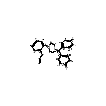 C=CCc1ccccc1N1CCN(C(c2ccc(F)cc2)c2ccc(F)cc2)CC1